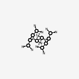 N#Cc1cc(C#N)cc(-c2ccc3c4ccc(-c5cc(C#N)cc(C#N)c5)cc4n(-c4ccc(C(F)(F)F)c(-c5cc(-n6c7cc(-c8cc(C#N)cc(C#N)c8)ccc7c7ccc(-c8cc(C#N)cc(C#N)c8)cc76)ccc5C(F)(F)F)c4)c3c2)c1